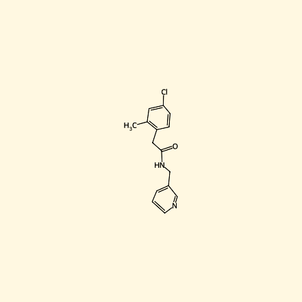 Cc1cc(Cl)ccc1CC(=O)NCc1cccnc1